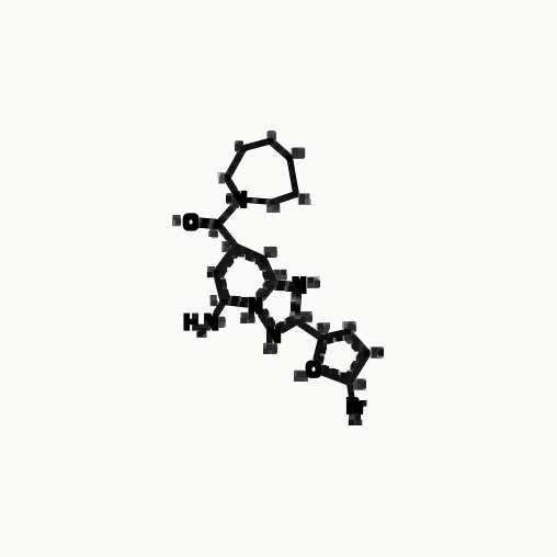 Nc1cc(C(=O)N2CCCCCC2)cc2nc(-c3ccc(Br)o3)nn12